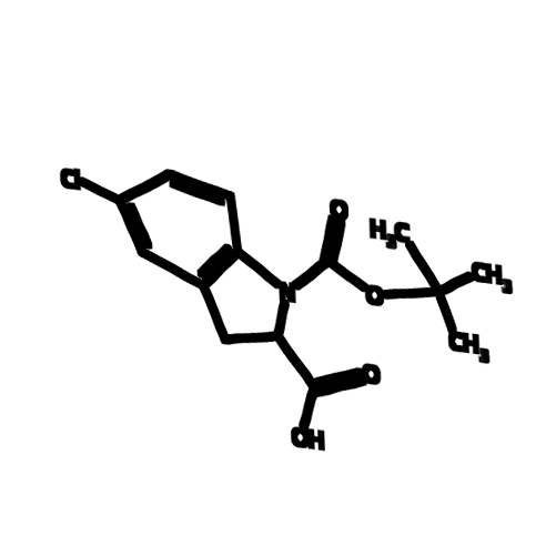 CC(C)(C)OC(=O)N1c2ccc(Cl)cc2CC1C(=O)O